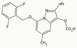 CCCc1nn2c(OCc3c(F)cccc3F)cc(C)cc2c1OC(=O)O